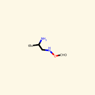 CC(C)(C)C(N)CNOC=O